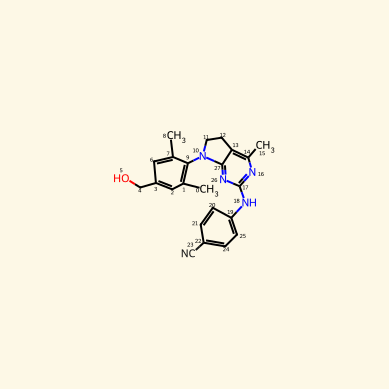 Cc1cc(CO)cc(C)c1N1CCc2c(C)nc(Nc3ccc(C#N)cc3)nc21